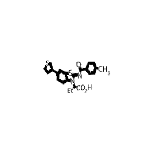 CCC(C(=O)O)n1c(=NC(=O)c2ccc(C)cc2)sc2cc(-c3ccsc3)ccc21